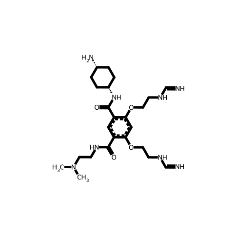 CN(C)CCNC(=O)c1cc(C(=O)N[C@H]2CC[C@@H](N)CC2)c(OCCNC=N)cc1OCCNC=N